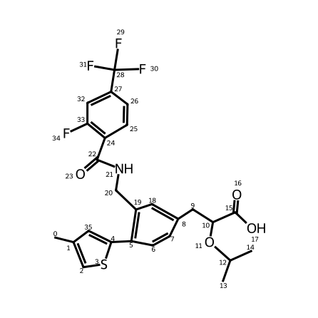 Cc1csc(-c2ccc(CC(OC(C)C)C(=O)O)cc2CNC(=O)c2ccc(C(F)(F)F)cc2F)c1